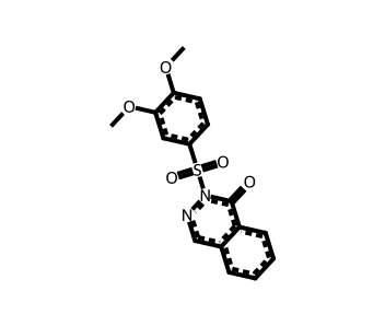 COc1ccc(S(=O)(=O)n2ncc3ccccc3c2=O)cc1OC